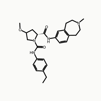 CCc1ccc(NC(=O)N2CC(OC)C[C@@H]2C(=O)Nc2ccc3c(c2)CCN(C)CC3)cc1